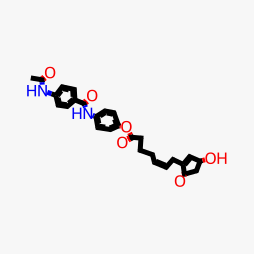 CC(=O)Nc1ccc(C(=O)Nc2ccc(OC(=O)CCC/C=C\CC3=CC(O)CC3=O)cc2)cc1